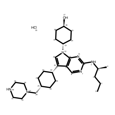 CCC[C@H](C)Nc1ncc2c(n1)n([C@H]1CC[C@H](O)CC1)cc2[C@H]1CC[C@@H](CN2CCNCC2)CC1.Cl